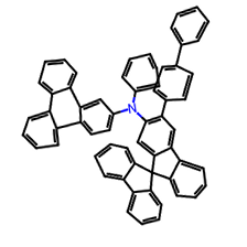 c1ccc(-c2ccc(-c3cc4c(cc3N(c3ccccc3)c3ccc5c6ccccc6c6ccccc6c5c3)C3(c5ccccc5-c5ccccc53)c3ccccc3-4)cc2)cc1